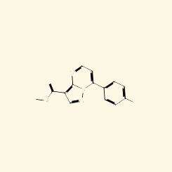 CCNC(=O)c1cnn2c(-c3ccc(O)cc3)ccnc12